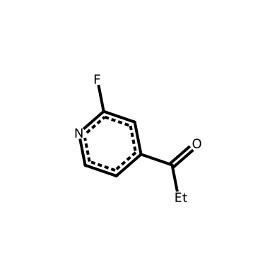 CCC(=O)c1ccnc(F)c1